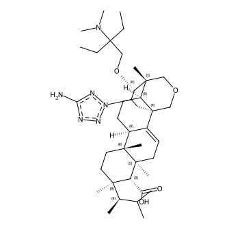 CCC(CC)(CO[C@H]1C(n2nnc(N)n2)C[C@@]23COC[C@]1(C)[C@@H]2CC[C@H]1C3=CC[C@@]2(C)[C@H](C(=O)O)[C@@](C)([C@H](C)C(C)C)CC[C@]12C)N(C)C